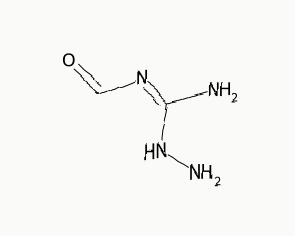 NNC(N)=NC=O